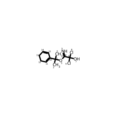 CC(C)(OC(=N)C(O)(Cl)Cl)C1=CCCC=C1